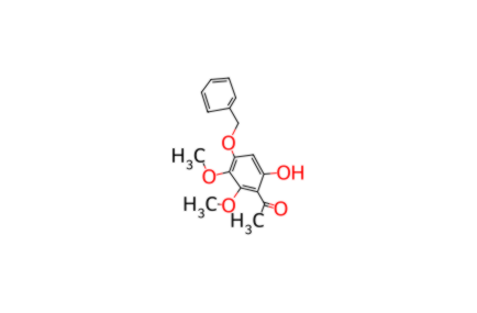 COc1c(OCc2ccccc2)cc(O)c(C(C)=O)c1OC